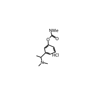 CNC(=O)Oc1cccc(C(C)N(C)C)c1.Cl